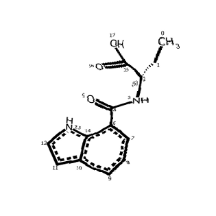 CC[C@H](NC(=O)c1cccc2cc[nH]c12)C(=O)O